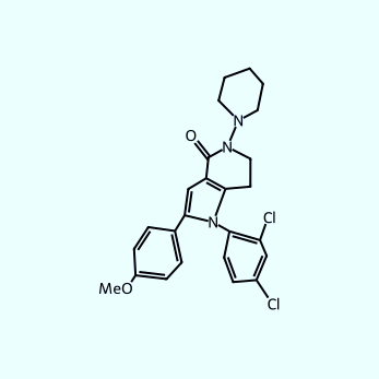 COc1ccc(-c2cc3c(n2-c2ccc(Cl)cc2Cl)CCN(N2CCCCC2)C3=O)cc1